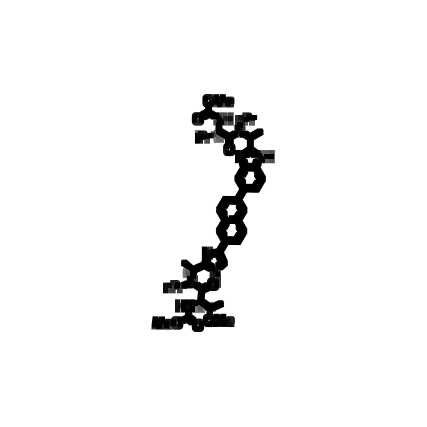 CCCN(C(=O)[C@@H](NC(=O)OC)C(C)C)C(C)c1nc2cc(-c3ccc4cc(-c5c[nH]c([C@H](C)N(CCC)C(=O)[C@@H](NC(=O)OC)[C@@H](C)OC)n5)ccc4c3)ccc2[nH]1